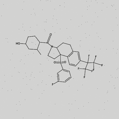 CC1CC(O)CCC1C(=O)N1CCC2(S(=O)(=O)c3cccc(F)c3)c3ccc(C(F)(C(F)(F)F)C(F)(F)F)cc3CCC12